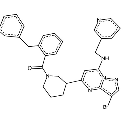 O=C(c1ccccc1Cc1ccccc1)N1CCCC(c2cc(NCc3cccnc3)n3ncc(Br)c3n2)C1